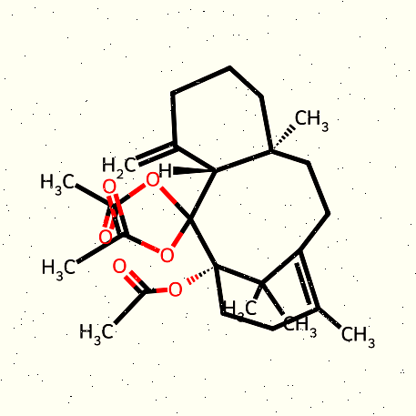 C=C1CCC[C@@]2(C)CCC3=C(C)CC[C@](OC(C)=O)(C3(C)C)C(OC(C)=O)(OC(C)=O)[C@H]12